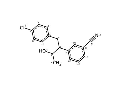 CC(O)C(Cc1ccc(Cl)cc1)c1cccc(C#N)c1